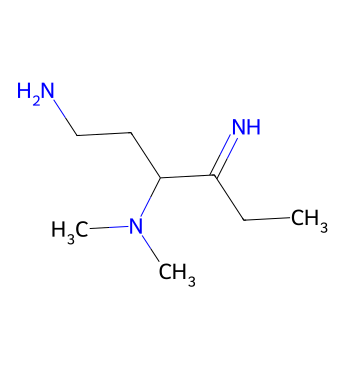 CCC(=N)C(CCN)N(C)C